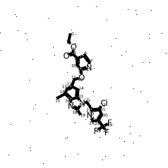 CCOC(=O)c1ccnc(OCc2cc(C)c3nc(C)n(Cc4ncc(C(F)(F)F)cc4Cl)c3c2)c1